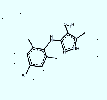 Cc1cc(Br)cc(C)c1Nc1n[nH]c(C)c1C(=O)O